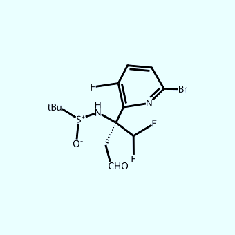 CC(C)(C)[S+]([O-])N[C@@](CC=O)(c1nc(Br)ccc1F)C(F)F